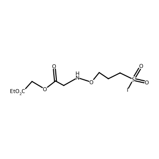 CCOC(=O)COC(=O)CNOCCCS(=O)(=O)I